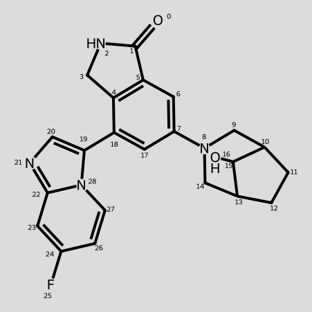 O=C1NCc2c1cc(N1CC3CCC(C1)C3O)cc2-c1cnc2cc(F)ccn12